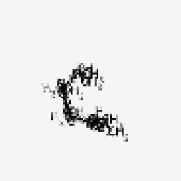 CC#CC(C)[S+]([O-])NS(=O)(=O)C(C)(C)OCCCCCC(=O)C(C)(C)OCCOCCOC(C)(C)C(=O)CCCCCOC(C)C(C)=CC